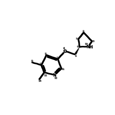 Cc1cc(OC[C@@H]2CCCN2)cnc1C